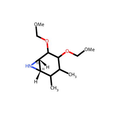 COCOC1C(C)C(C)[C@@H]2N[C@@H]2C1OCOC